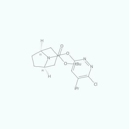 CC(C)c1cc(OC2C[C@H]3CC[C@@H](C2)N3C(=O)OC(C)(C)C)nnc1Cl